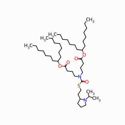 CCCCCCCC(CCCCCCC)OC(=O)CCCN(CCCC(=O)OC(CCCCCCC)CCCCCCC)C(=O)SCCC1CCCN1C(C)C